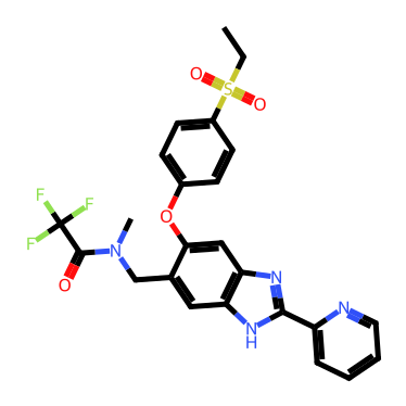 CCS(=O)(=O)c1ccc(Oc2cc3nc(-c4ccccn4)[nH]c3cc2CN(C)C(=O)C(F)(F)F)cc1